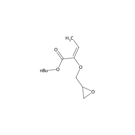 CC=C(OCC1CO1)C(=O)OCCCC